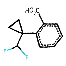 O=C(O)c1ccccc1C1(C(F)F)CC1